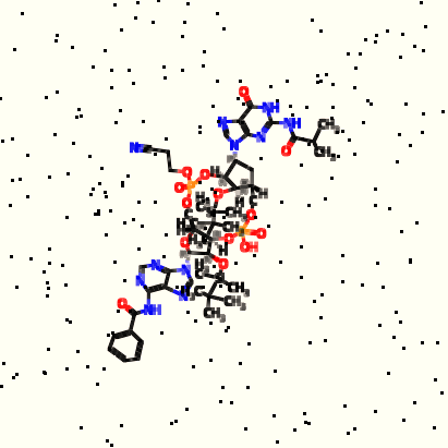 CC(C)C(=O)Nc1nc2c(ncn2[C@@H]2C[C@@H]3COP(=O)(O)O[C@H]4[C@@H](O[Si](C)(C)C(C)(C)C)[C@H](n5cnc6c(NC(=O)c7ccccc7)ncnc65)O[C@@H]4COP(=O)(OCCC#N)O[C@@H]2[C@@H]3O[Si](C)(C)C(C)(C)C)c(=O)[nH]1